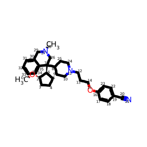 CO[C@H]1CCC[C@@H]1C1(C2CCN(CCCOc3ccc(C#N)cc3)CC2)CN(C)Cc2ccccc21